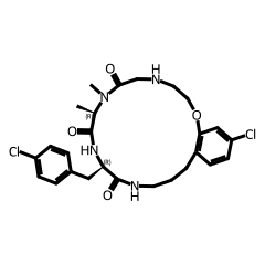 C[C@@H]1C(=O)N[C@H](Cc2ccc(Cl)cc2)C(=O)NCCCc2ccc(Cl)cc2OCCNCC(=O)N1C